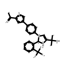 CC(=O)c1cc(-c2ccc(N3C=C(C(C)(C)O)NC3c3ccccc3C(F)(F)F)cc2)cs1